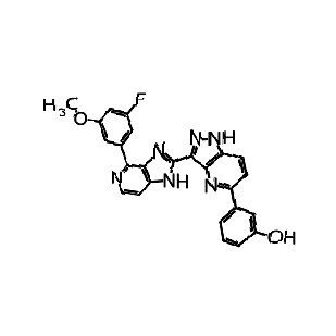 COc1cc(F)cc(-c2nccc3[nH]c(-c4n[nH]c5ccc(-c6cccc(O)c6)nc45)nc23)c1